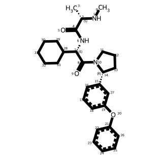 CN[C@@H](C)C(=O)N[C@H](C(=O)N1CCC[C@@H]1c1cccc(Oc2ccccc2)c1)C1CCCCC1